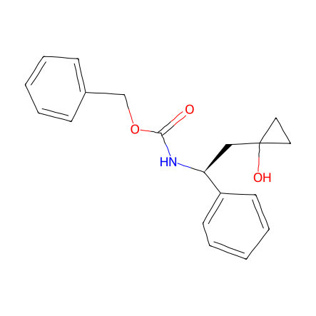 O=C(N[C@@H](CC1(O)CC1)c1ccccc1)OCc1ccccc1